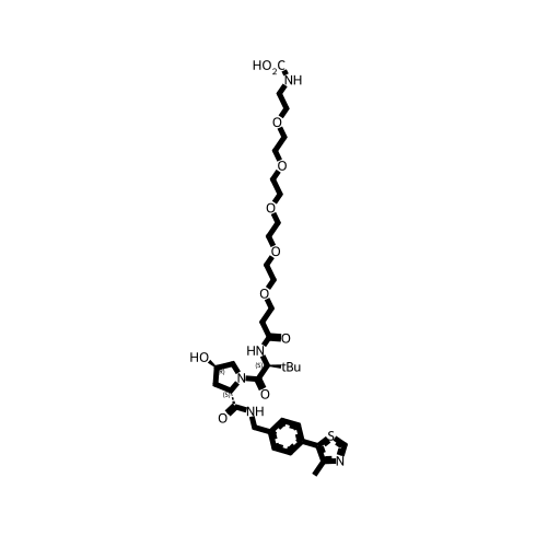 Cc1ncsc1-c1ccc(CNC(=O)[C@@H]2C[C@@H](O)CN2C(=O)[C@@H](NC(=O)CCOCCOCCOCCOCCOCCNC(=O)O)C(C)(C)C)cc1